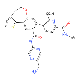 CCCNC(=O)c1ccc(-c2cc3c(cc2C(=O)Nc2cnc(CN)cn2)-c2sccc2CCO3)c(C(=O)O)n1